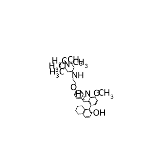 COc1ccc(-c2c(O)ccc3c2CCCC3)c(Cc2ccc(OCCNC3CC(C)(C)N(C)C(C)(C)C3)cc2)c1N